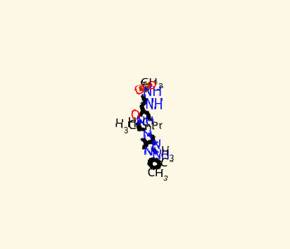 C/C=C\C(=C/C(=N)CNS(C)(=O)=O)C(=O)N[C@H](C)C[C@H](CCC)N1Cc2cnc(Nc3ccc(C)cc3C)nc2C1